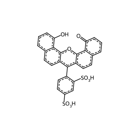 O=c1cccc2ccc3c(-c4ccc(S(=O)(=O)O)cc4S(=O)(=O)O)c4ccc5cccc(O)c5c4oc3c12